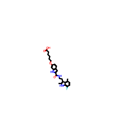 Cc1[nH]c2c(F)ccc(C)c2c1CCNC(=O)c1cc2ccc(OCCCCCC(=O)O)cc2[nH]1